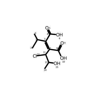 CC(C)C(C(=O)O)=C(C(=O)O)C(Cl)C(C)O